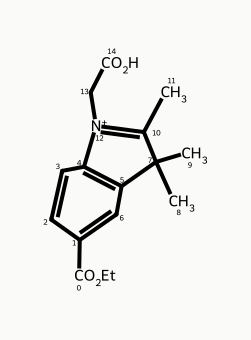 CCOC(=O)c1ccc2c(c1)C(C)(C)C(C)=[N+]2CC(=O)O